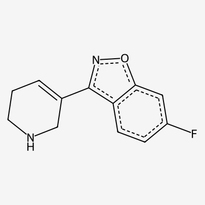 Fc1ccc2c(C3=CCCNC3)noc2c1